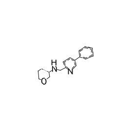 c1ccc(-c2ccc(CNC3CCCOC3)nc2)cc1